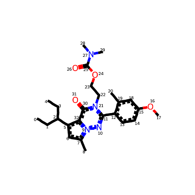 CCC(CC)c1cc(C)n2nc(-c3ccc(OC)cc3C)n(CCOC(=O)N(C)C)c(=O)c12